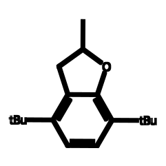 CC1Cc2c(C(C)(C)C)ccc(C(C)(C)C)c2O1